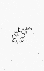 CSc1nc(CN2CCOCC2)cc(Nc2nc3ccc([N+](=O)[O-])cc3s2)n1